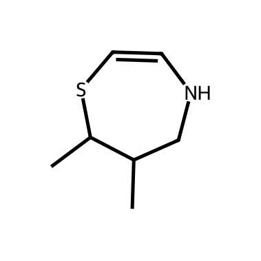 CC1CNC=CSC1C